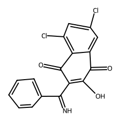 N=C(C1=C(O)C(=O)c2cc(Cl)cc(Cl)c2C1=O)c1ccccc1